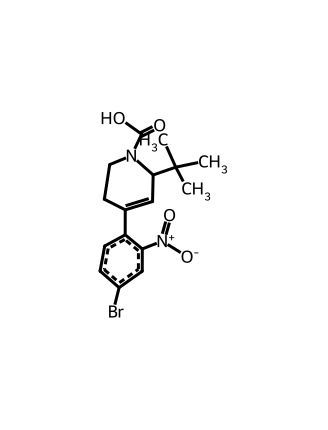 CC(C)(C)C1C=C(c2ccc(Br)cc2[N+](=O)[O-])CCN1C(=O)O